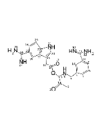 CC(=O)C(NCc1cccc(C(=N)N)c1)OC(=O)Cc1c[nH]c2ccc(C(=N)N)cc12